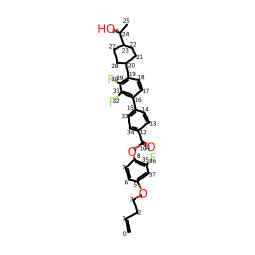 C=CCCOc1ccc(OC(=O)c2ccc(-c3ccc(C4CCC(C(C)O)CC4)c(F)c3F)cc2)c(F)c1